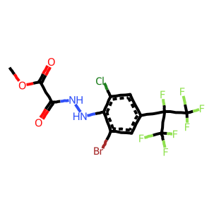 COC(=O)C(=O)NNc1c(Cl)cc(C(F)(C(F)(F)F)C(F)(F)F)cc1Br